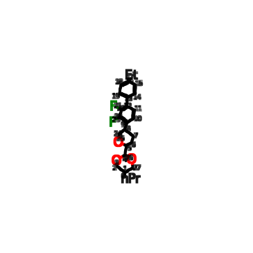 CCCC1COC(C2CCC(c3ccc(-c4ccc(CC)cc4)c(F)c3F)CO2)OC1